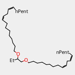 CCCCC/C=C\C/C=C\CCCCCCCCOCC(CC)OCCCCCCCC/C=C\C/C=C\CCCCC